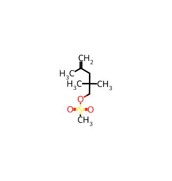 C=C(C)CC(C)(C)COS(C)(=O)=O